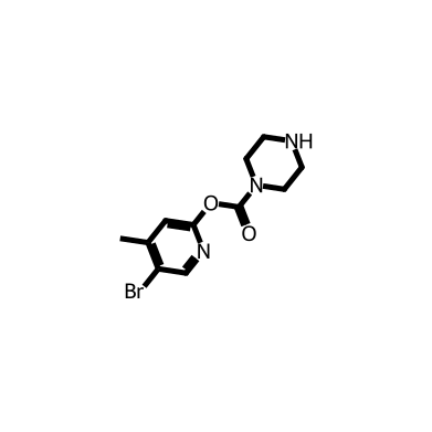 Cc1cc(OC(=O)N2CCNCC2)ncc1Br